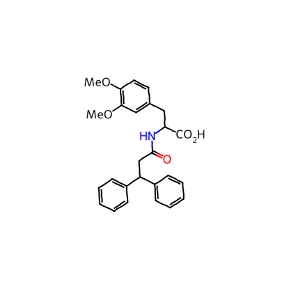 COc1ccc(CC(NC(=O)CC(c2ccccc2)c2ccccc2)C(=O)O)cc1OC